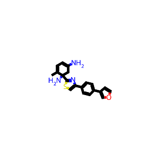 CC1=CC=C(N)CC1(N)c1nc(-c2ccc(-c3ccoc3)cc2)cs1